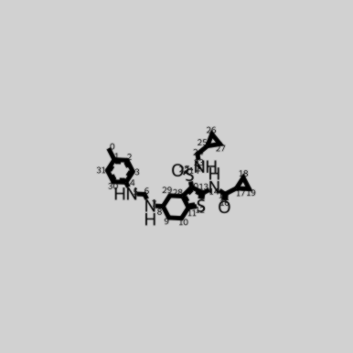 Cc1ccc(NCNC2CCc3sc(NC(=O)C4CC4)c([S+]([O-])NCC4CC4)c3C2)cc1